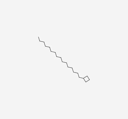 CCCCCCCCCCCCCCCCC1CCC1